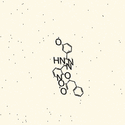 COc1cccc(-c2nnc(-c3cccnc3OC(Cc3ccccc3)C3=COCO3)[nH]2)c1